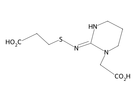 O=C(O)CCS/N=C1\NCCCN1CC(=O)O